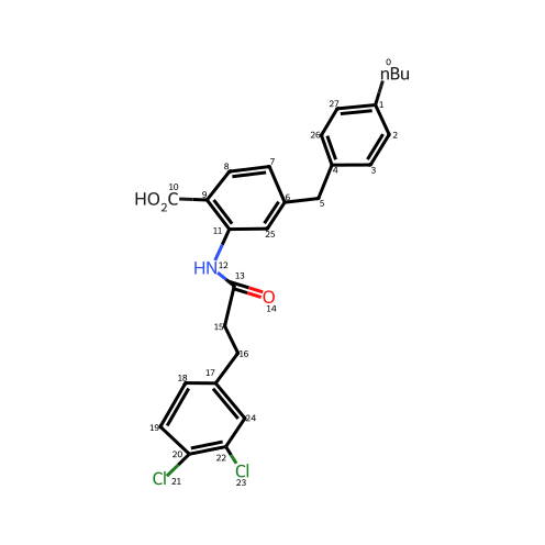 CCCCc1ccc(Cc2ccc(C(=O)O)c(NC(=O)CCc3ccc(Cl)c(Cl)c3)c2)cc1